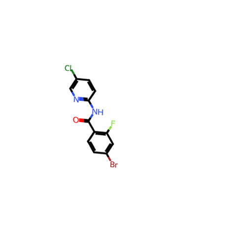 O=C(Nc1ccc(Cl)cn1)c1ccc(Br)cc1F